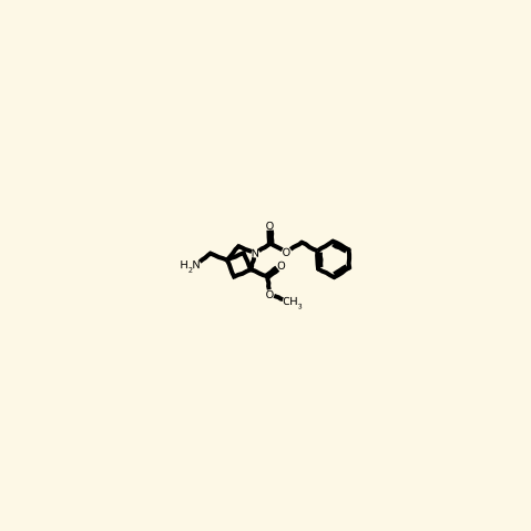 COC(=O)C12CC(CN)(CN1C(=O)OCc1ccccc1)C2